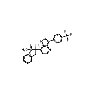 CC(Cc1ccccc1)(c1ccnc2c(-c3ccc(C(F)(F)F)cc3)cnn12)S(C)(=O)=O